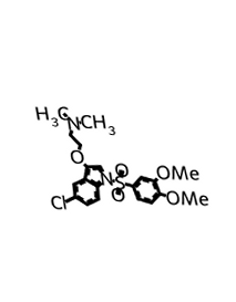 COc1ccc(S(=O)(=O)n2cc(OCCN(C)C)c3cc(Cl)ccc32)cc1OC